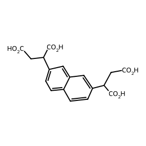 O=C(O)CC(C(=O)O)c1ccc2ccc(C(CC(=O)O)C(=O)O)cc2c1